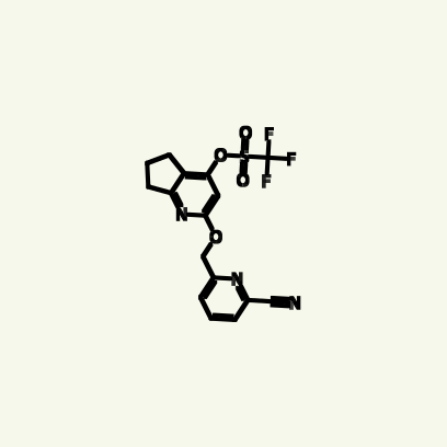 N#Cc1cccc(COc2cc(OS(=O)(=O)C(F)(F)F)c3c(n2)CCC3)n1